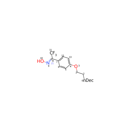 CCCCCCCCCCCCOc1ccc(/C(=N/O)C(F)(F)F)cc1